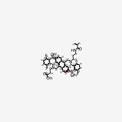 C=C(C)C(=O)NCCCN(Cc1c(F)ccc(F)c1B(O)O)Cc1c2ccccc2c(CN(CCC(=O)O)Cc2c(F)ccc(F)c2B(O)O)c2ccccc12